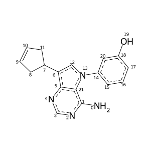 Nc1ncnc2c(C3CC=CC3)cn(-c3cccc(O)c3)c12